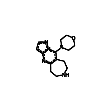 c1cc2nc3c(c(N4CCOCC4)n2n1)CCNCC3